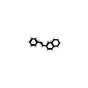 [C]1CCCc2ccc(C=Cc3ccccc3)cc21